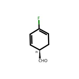 O=C[C@H]1C=CC(F)=CC1